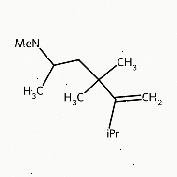 C=C(C(C)C)C(C)(C)CC(C)NC